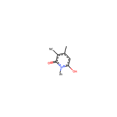 Cc1cc(O)n(C(C)C)c(=O)c1C#N